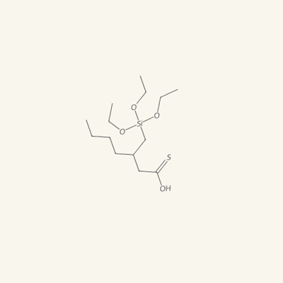 CCCCC(CC(O)=S)C[Si](OCC)(OCC)OCC